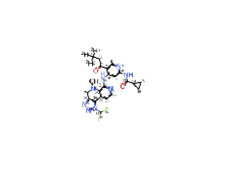 [2H]C([2H])([2H])CC(=O)c1cnc(NC(=O)C2CC2)cc1Nc1nccc2c1N(C)Cc1nnn(C(F)F)c1-2